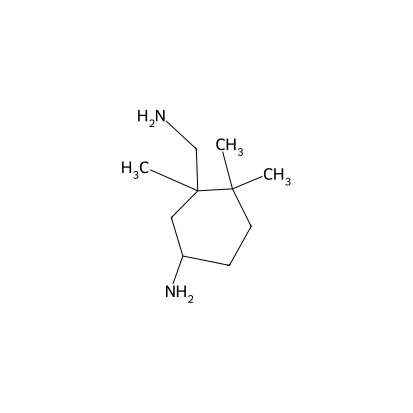 CC1(C)CCC(N)CC1(C)CN